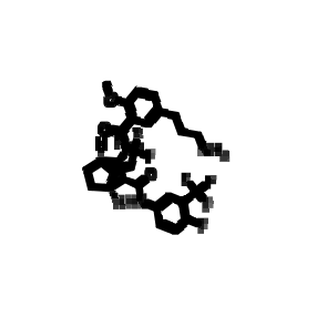 COc1ccc(CCCN)cc1C(=O)N[C@H]1[C@@H](C(=O)Nc2ccc(F)c(C(F)(F)F)c2)[C@H]2CC[C@@H]1/C2=C\C(F)(F)F